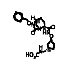 O=C(O)NC[C@H]1CC[C@H](ONC(=O)[C@@H]2CC[C@@H]3CN2C(=O)N3OCc2ccccc2)C1